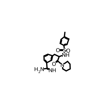 Cc1ccc(S(=O)(=O)NC(Cc2cccc(C(=N)N)c2)C(=O)N2CCCCC2)cc1